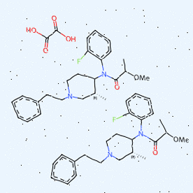 COC(C)C(=O)N(c1ccccc1F)C1CCN(CCc2ccccc2)C[C@H]1C.COC(C)C(=O)N(c1ccccc1F)C1CCN(CCc2ccccc2)C[C@H]1C.O=C(O)C(=O)O